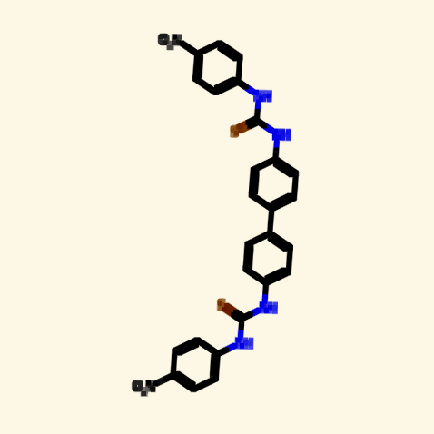 O=[N+]([O-])c1ccc(NC(=S)Nc2ccc(-c3ccc(NC(=S)Nc4ccc([N+](=O)[O-])cc4)cc3)cc2)cc1